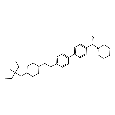 CCC(F)(CC)CN1CCC(CCc2ccc(-c3ccc(C(=O)N4CCCCC4)cc3)cc2)CC1